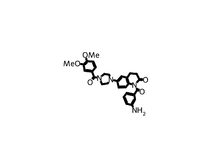 COc1ccc(C(=O)N2CCN(c3ccc4c(c3)CCC(=O)N4C(=O)c3cccc(N)c3)CC2)cc1OC